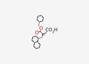 O=C(O)C[C@@H](Cc1cccc2ccccc12)C(=O)OCc1ccccc1